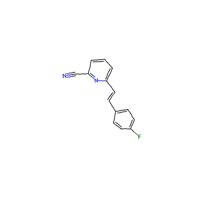 N#Cc1cccc(/C=C/c2ccc(F)cc2)n1